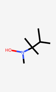 CC(C)C(C)(C)N(C)O